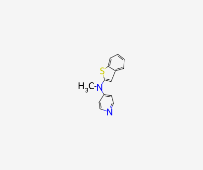 CN(c1ccncc1)c1cc2ccccc2s1